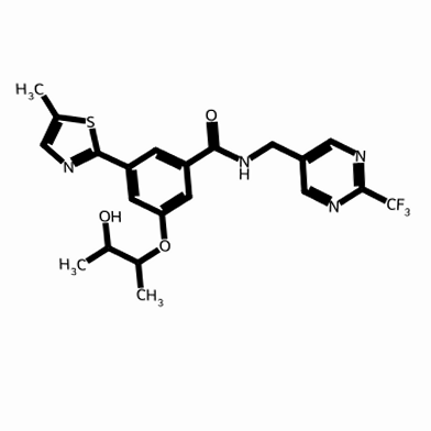 Cc1cnc(-c2cc(OC(C)C(C)O)cc(C(=O)NCc3cnc(C(F)(F)F)nc3)c2)s1